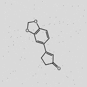 O=C1C=C(c2ccc3c(c2)OCO3)CC1